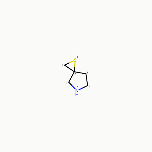 C1CC2(CN1)CS2